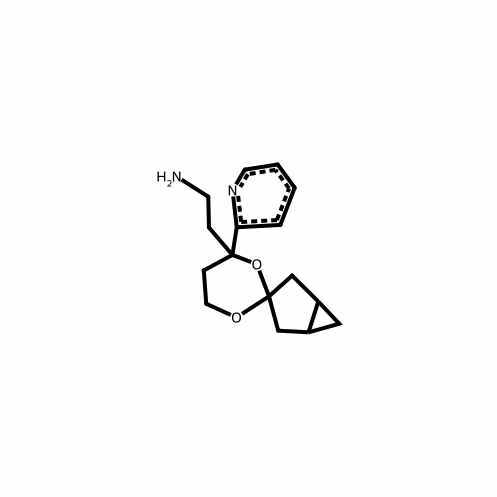 NCCC1(c2ccccn2)CCOC2(CC3CC3C2)O1